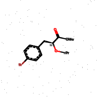 CCCO[C@@H](Cc1ccc(Br)cc1)C(=O)OC